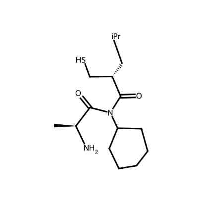 CC(C)C[C@@H](CS)C(=O)N(C(=O)[C@H](C)N)C1CCCCC1